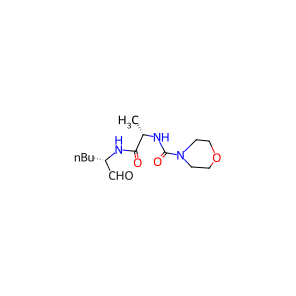 CCCC[C@@H](C=O)NC(=O)[C@H](C)NC(=O)N1CCOCC1